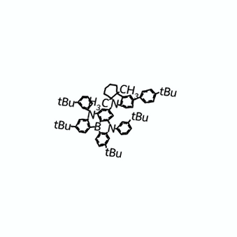 CC(C)(C)c1ccc(-c2ccc3c(c2)C2(C)CCCCC2(C)N3c2cc3c4c(c2)N(c2cccc(C(C)(C)C)c2)c2cc(C(C)(C)C)ccc2B4c2ccc(C(C)(C)C)cc2N3c2cccc(C(C)(C)C)c2)cc1